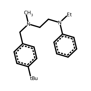 CCN(CCN(C)Cc1ccc(C(C)(C)C)cc1)c1ccccc1